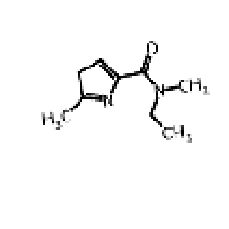 CCN(C)C(=O)C1=CCC(C)=N1